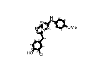 COc1ccc(Nc2nn3c(Cc4ccc(O)c(Cl)c4)nnc3s2)cc1